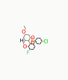 CCO[C@@H]1CC[C@@]2(S(=O)(=O)c3ccc(Cl)cc3)c3c(F)ccc(F)c3OC[C@H]2C1